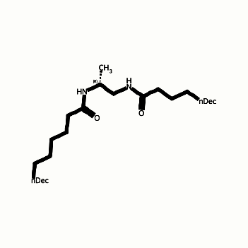 CCCCCCCCCCCCCCCC(=O)N[C@H](C)CNC(=O)CCCCCCCCCCCCC